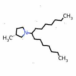 CCCCCCCC(CCCCCCC)N1CC[C@@H](C)C1